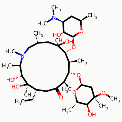 CC[C@H]1CC(=O)[C@H](C)[C@@H](O[C@H]2C[C@@](C)(OC)[C@@H](O)[C@H](C)O2)[C@H](C)[C@@H](O[C@@H]2O[C@H](C)C[C@H](N(C)C)[C@H]2O)[C@](C)(O)C[C@@H](C)CN(C)[C@H](C)[C@@H](O)[C@]1(C)O